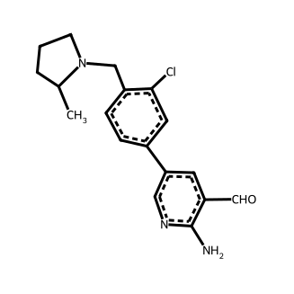 CC1CCCN1Cc1ccc(-c2cnc(N)c(C=O)c2)cc1Cl